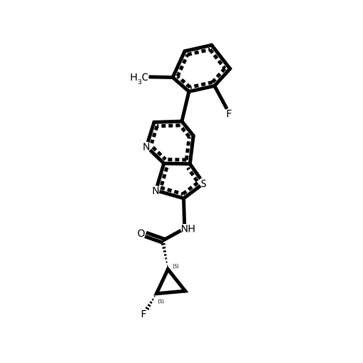 Cc1cccc(F)c1-c1cnc2nc(NC(=O)[C@@H]3C[C@@H]3F)sc2c1